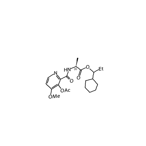 CCC(OC(=O)[C@H](C)NC(=O)c1nccc(OC)c1OC(C)=O)C1CCCCC1